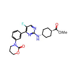 COC(=O)[C@H]1CC[C@H](Nc2ncc(F)c(-c3cccc(N4CCCOC4=O)c3)n2)CC1